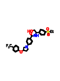 CCS(=O)(=O)c1ccc(C(CO)NC(=O)c2ccc(N3CCC(Oc4ccc(C(F)(F)F)cc4)C3)cc2)cc1